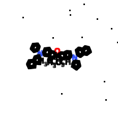 CC1(C)c2cc(N(c3ccccc3)c3ccc4ccccc4c3)ccc2-c2oc3c(c21)C(C)(C)c1cc(N(c2ccccc2)c2ccc4ccccc4c2)ccc1-3